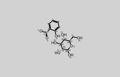 O=[N+]([O-])c1ccccc1O.OC[C@H]1O[C@@H](O)[C@H](O)[C@@H](O)[C@@H]1O